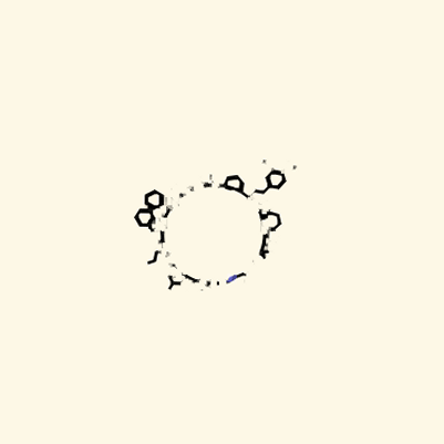 CCCN1CC(=O)N(C)[C@@H](CC(C)C)C(=O)N(C)CC/C=C/C(=O)OCC(C)(C)C(=O)C(=O)N2CCCC[C@H]2C(=O)O[C@H](CCc2ccc(OC)c(OC)c2)c2cccc(c2)NC(=O)CCC(=O)N[C@@H](c2ccccc2)C(=O)N[C@@H](Cc2ccccc2)C1=O